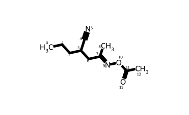 CCCC(C#N)C/C(C)=N/OC(C)=O